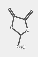 C=C1OC(C=O)OC1=C